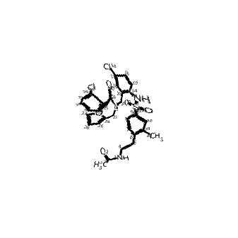 CC(=O)NCCc1ccc(S(=O)(=O)Nc2ccc(Cl)cc2CN(Cc2ccco2)C(=O)c2ccccc2Cl)cc1C